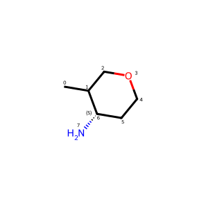 CC1COCC[C@@H]1N